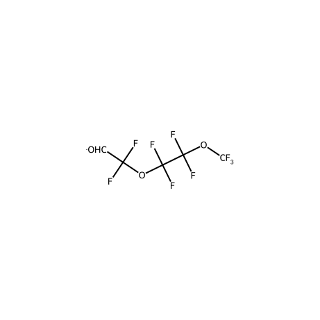 O=[C]C(F)(F)OC(F)(F)C(F)(F)OC(F)(F)F